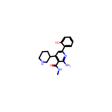 CNC(=O)c1c(C2CCCNC2)cc(-c2ccccc2O)nc1N